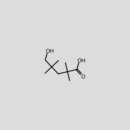 CC(C)(CO)CC(C)(C)C(=O)O